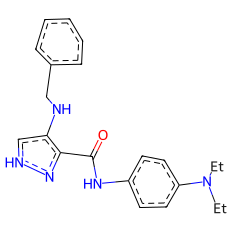 CCN(CC)c1ccc(NC(=O)c2n[nH]cc2NCc2ccccc2)cc1